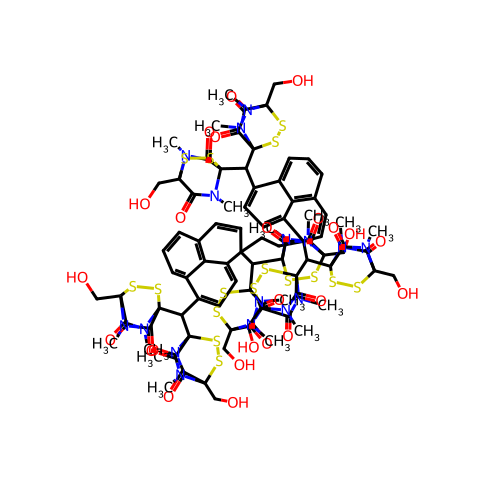 CN1C(=O)C2(C(c3ccc4c5c(cccc35)C=CC4(CCC3(C(C45SSC(CO)(C(=O)N4C)N(C)C5=O)C45SSC(CO)(C(=O)N4C)N(C)C5=O)C=Cc4cccc5c(C(C67SSC(CO)(C(=O)N6C)N(C)C7=O)C67SSC(CO)(C(=O)N6C)N(C)C7=O)ccc3c45)C(C34SSC(CO)(C(=O)N3C)N(C)C4=O)C34SSC(CO)(C(=O)N3C)N(C)C4=O)C34SSC(CO)(C(=O)N3C)N(C)C4=O)SSC1(CO)C(=O)N2C